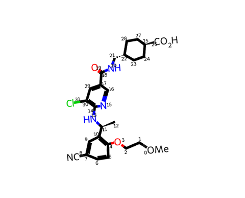 COCCOc1ccc(C#N)cc1[C@H](C)Nc1ncc(C(=O)NC[C@H]2CC[C@H](C(=O)O)CC2)cc1Cl